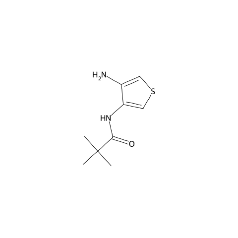 CC(C)(C)C(=O)Nc1cscc1N